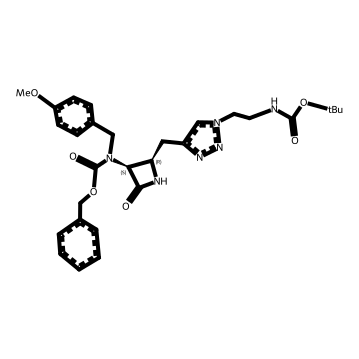 COc1ccc(CN(C(=O)OCc2ccccc2)[C@@H]2C(=O)N[C@@H]2Cc2cn(CCNC(=O)OC(C)(C)C)nn2)cc1